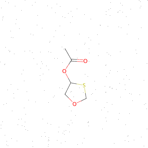 CC(=O)OC1COCS1